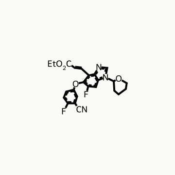 CCOC(=O)/C=C/c1c(Oc2ccc(F)c(C#N)c2)c(F)cc2c1ncn2C1CCCCO1